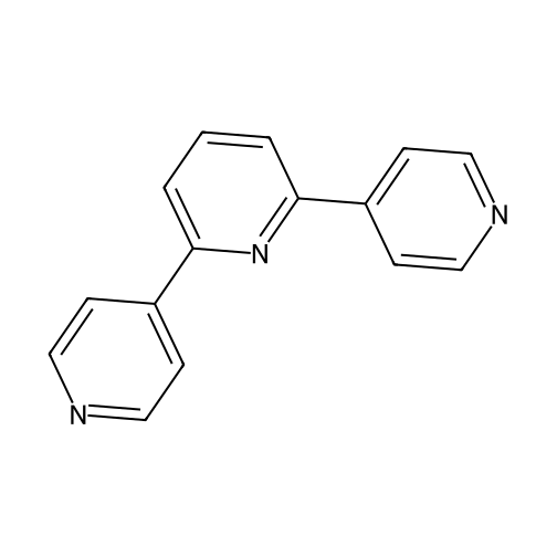 c1cc(-c2ccncc2)nc(-c2ccncc2)c1